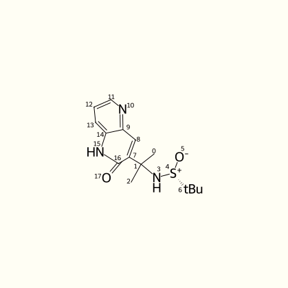 CC(C)(N[S@+]([O-])C(C)(C)C)c1cc2ncccc2[nH]c1=O